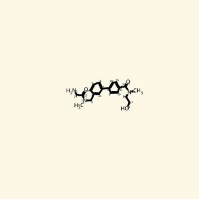 CN(Cc1cccc(-c2ccc(C(=O)N(C)CCO)cc2)c1)C(=O)CN